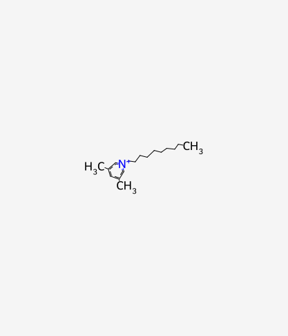 CCCCCCCCCC[n+]1cc(C)cc(C)c1